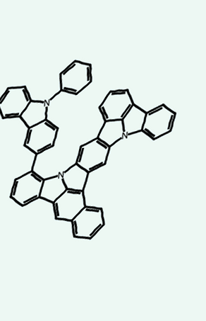 c1ccc(-n2c3ccccc3c3cc(-c4cccc5c6cc7ccccc7c7c8cc9c(cc8n(c45)c67)c4cccc5c6ccccc6n9c54)ccc32)cc1